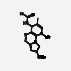 CCCN1C=C(C)C(NC(=O)CC)C2=C1N1CN(OC)C=C1C=N2